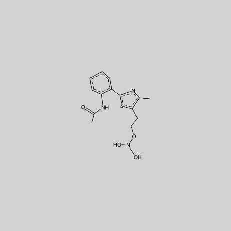 CC(=O)Nc1ccccc1-c1nc(C)c(CCON(O)O)s1